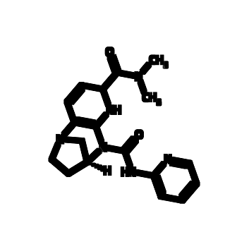 CN(C)C(=O)C1C=CC2=C(N1)N(C(=O)Nc1ccccn1)[C@H]1CCN2C1